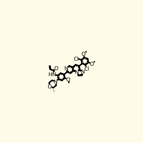 C=CC(=O)Nc1cc(-c2cc3c(cn2)cc(-c2c(Cl)c(OC)cc(OC)c2Cl)c2nccn23)c(OC)cc1N1CCO[C@@H](C)C1